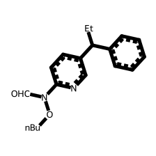 [CH2]CC(c1ccccc1)c1ccc(N(C=O)OCCCC)nc1